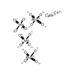 [Ca+2].[Ce+3].[La+3].[O]=[Mn](=[O])([O-])[O-].[O]=[Mn](=[O])([O-])[O-].[O]=[Mn](=[O])([O-])[O-].[O]=[Mn](=[O])([O-])[O-]